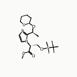 COC(=O)[C@@H](CO[Si](C)(C)C(C)(C)C)n1ccnc1[C@H](C)OC1CCCCO1